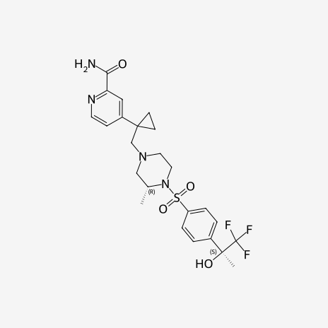 C[C@@H]1CN(CC2(c3ccnc(C(N)=O)c3)CC2)CCN1S(=O)(=O)c1ccc([C@](C)(O)C(F)(F)F)cc1